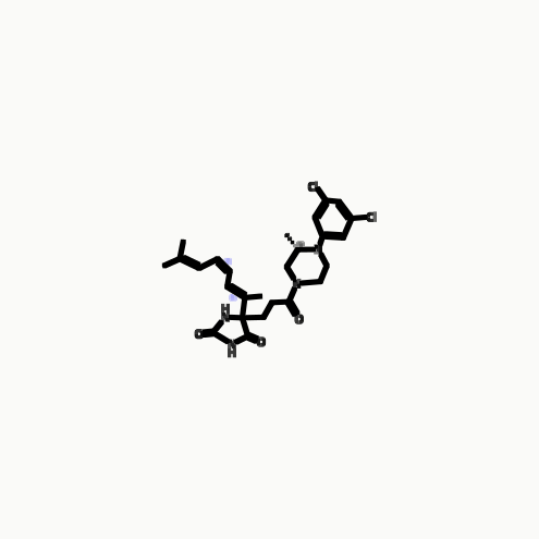 CC(C)=C/C=C\C=C(/C)C1(CCC(=O)N2CCN(c3cc(Cl)cc(Cl)c3)[C@@H](C)C2)NC(=O)NC1=O